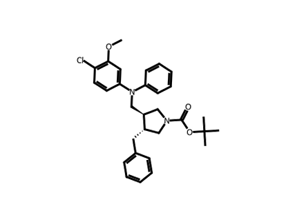 COc1cc(N(C[C@H]2CN(C(=O)OC(C)(C)C)C[C@@H]2Cc2ccccc2)c2ccccc2)ccc1Cl